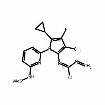 C=N/C(Cl)=N\c1c(C)c(F)c(C2CC2)n1-c1cccc(NSC)n1